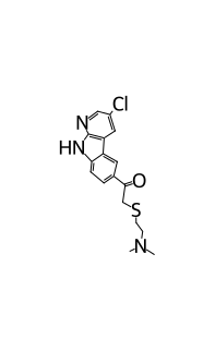 CN(C)CCSCC(=O)c1ccc2[nH]c3ncc(Cl)cc3c2c1